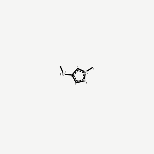 CBc1cnn(C)c1